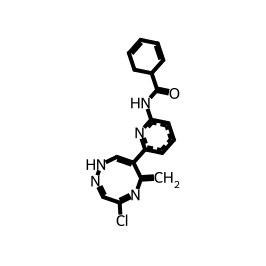 C=C1/N=C(Cl)\C=N/N/C=C\1c1cccc(NC(=O)C2C=CC=CC2)n1